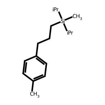 Cc1ccc(CCC[Si](C)(C(C)C)C(C)C)cc1